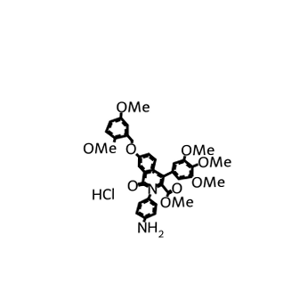 COC(=O)c1c(-c2cc(OC)c(OC)c(OC)c2)c2ccc(OCc3cc(OC)ccc3OC)cc2c(=O)n1-c1ccc(N)cc1.Cl